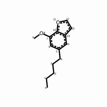 CCCCCc1cc(OC)c2occc2c1